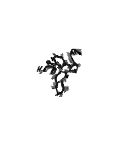 CS(=O)(=O)c1nccc(-n2c(CC#N)cnc2-c2ccc3ccccc3n2)n1